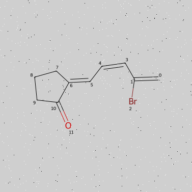 C=C(Br)/C=C\C=C1/CCCC1=O